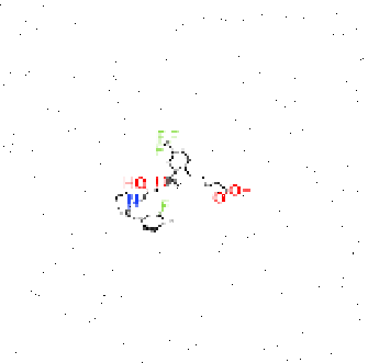 CC1C=CC(C[C@@H]2CCCN2CC(O)CO[C@H](C)c2cc(C(F)(F)F)ccc2CCCCC(=O)O)=CC1F